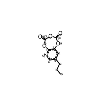 CCCc1cnc2c(c1)OC(=O)OC(=O)O2